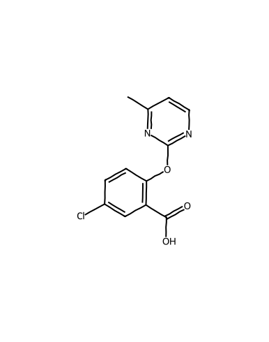 Cc1ccnc(Oc2ccc(Cl)cc2C(=O)O)n1